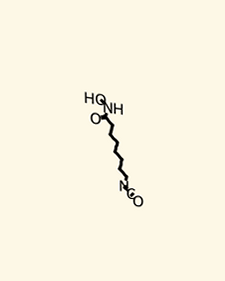 O=C=NCCCCCCCC(=O)NO